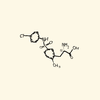 Cc1ccc(S(=O)(=O)Nc2ccc(Cl)cc2)cc1C[C@H](N)C(=O)O